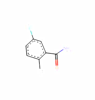 [CH2]Cc1ccc(F)cc1C(N)=O